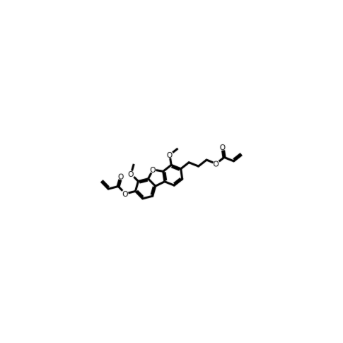 C=CC(=O)OCCCc1ccc2c(oc3c(OC)c(OC(=O)C=C)ccc32)c1OC